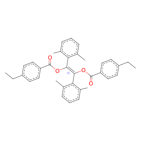 CCc1ccc(C(=O)O/C(=C(/OC(=O)c2ccc(CC)cc2)c2c(C)cccc2C)c2c(C)cccc2C)cc1